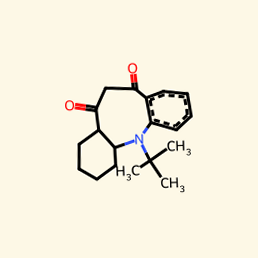 CC(C)(C)N1c2ccccc2C(=O)CC(=O)C2CCCCC21